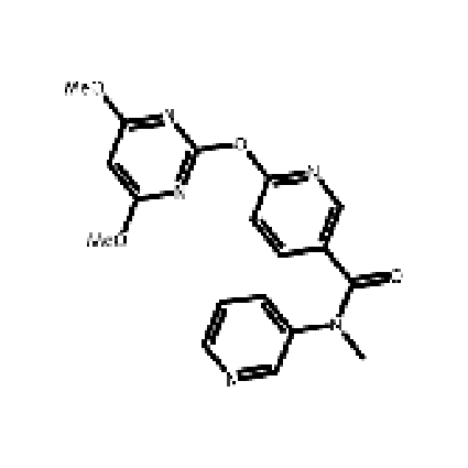 COc1cc(OC)nc(Oc2ccc(C(=O)N(C)c3cccnc3)cn2)n1